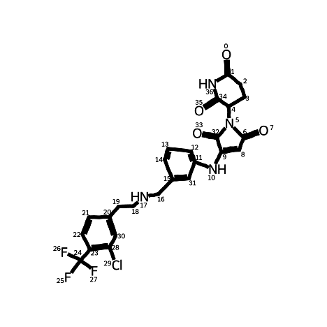 O=C1CCC(N2C(=O)C=C(Nc3cccc(CNCCc4ccc(C(F)(F)F)c(Cl)c4)c3)C2=O)C(=O)N1